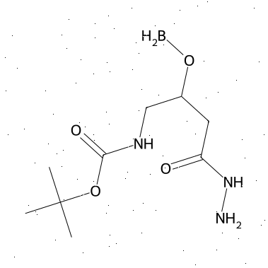 BOC(CNC(=O)OC(C)(C)C)CC(=O)NN